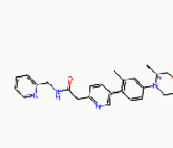 Cc1cc(N2CCOC[C@@H]2C)ccc1-c1ccc(CC(=O)NCc2ccccn2)nc1